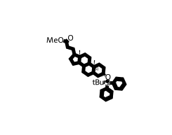 COC(=O)CCC1CCC2C3CCC4C[C@H](O[Si](c5ccccc5)(c5ccccc5)C(C)(C)C)CC[C@]4(C)C3CC[C@]12C